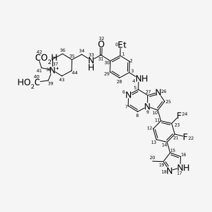 CCc1cc(Nc2nccn3c(-c4ccc(-c5c[nH]nc5C)c(F)c4F)cnc23)ccc1C(=O)NCC1CC[N+](CC(=O)O)(CC(=O)O)CC1